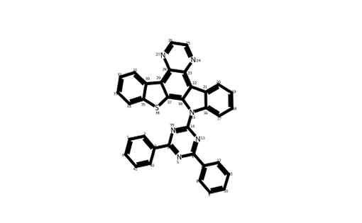 c1ccc(-c2nc(-c3ccccc3)nc(-n3c4ccccc4c4c5nccnc5c5c6ccccc6sc5c43)n2)cc1